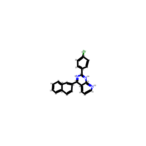 Brc1ccc(-c2nc(-c3ccc4ccccc4c3)c3cccnc3n2)cc1